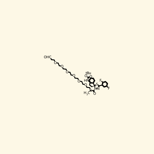 CN(CCOCCOCCOCCOCCOCCOCCC=O)C(=O)N1N=C(c2cc(F)ccc2F)S[C@@]1(CCCNC(=O)OC(C)(C)C)c1ccccc1